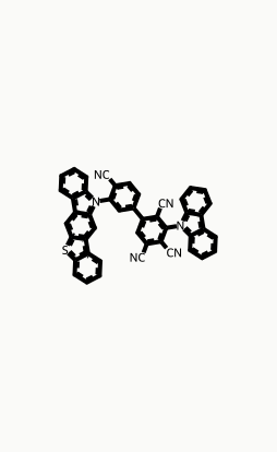 N#Cc1ccc(-c2cc(C#N)c(C#N)c(-n3c4ccccc4c4ccccc43)c2C#N)cc1-n1c2ccccc2c2cc3sc4ccccc4c3cc21